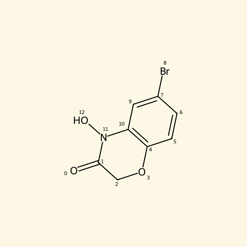 O=C1COc2ccc(Br)cc2N1O